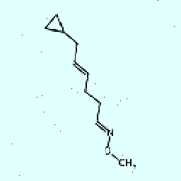 CON=CCCC=CCC1[CH]C1